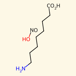 NCCCCCCCC(=O)O.O=NO